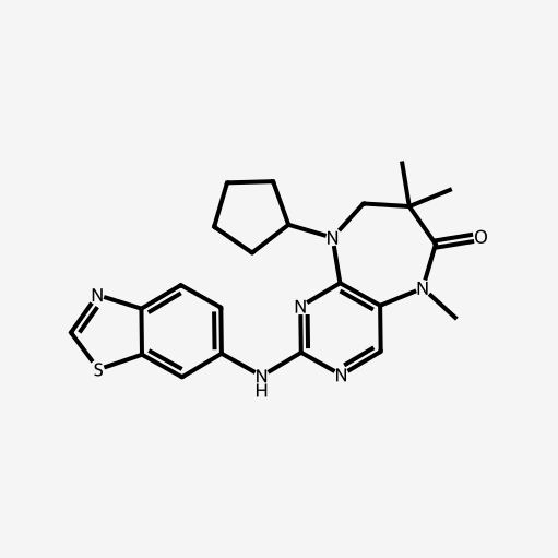 CN1C(=O)C(C)(C)CN(C2CCCC2)c2nc(Nc3ccc4ncsc4c3)ncc21